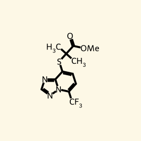 COC(=O)C(C)(C)Sc1ccc(C(F)(F)F)n2ncnc12